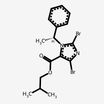 CC(C)COC(=O)c1c(Br)nc(Br)n1[C@H](C)c1ccccc1